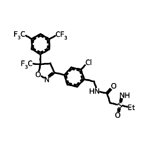 CCS(=N)(=O)CC(=O)NCc1ccc(C2=NOC(c3cc(C(F)(F)F)cc(C(F)(F)F)c3)(C(F)(F)F)C2)cc1Cl